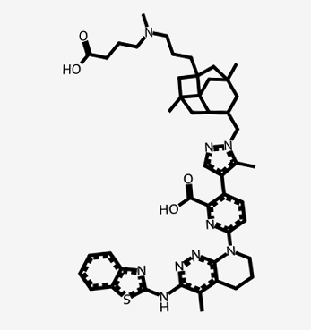 Cc1c(Nc2nc3ccccc3s2)nnc2c1CCCN2c1ccc(-c2cnn(CC34CC5(C)CC6(CCCN(C)CCCC(=O)O)CC(C)(C3)C6(C5)C4)c2C)c(C(=O)O)n1